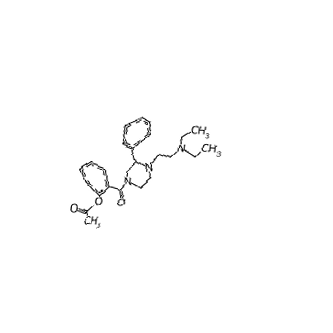 CCN(CC)CCN1CCN(C(=O)c2ccccc2OC(C)=O)CC1c1ccccc1